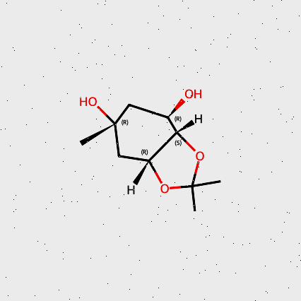 CC1(C)O[C@H]2[C@H](O)C[C@@](C)(O)C[C@H]2O1